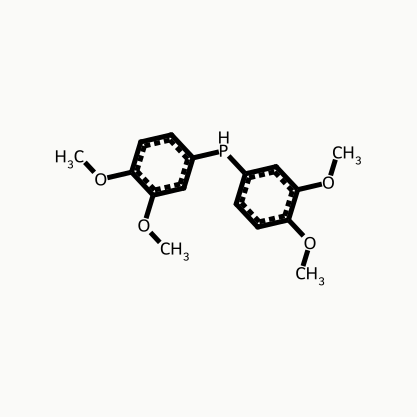 COc1ccc(Pc2ccc(OC)c(OC)c2)cc1OC